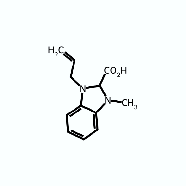 C=CCN1c2ccccc2N(C)C1C(=O)O